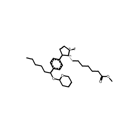 CCCCCC(OC1CCCCO1)c1ccc(C2CC[C@@H](F)[C@@H]2CCCCCCC(=O)OC)cc1